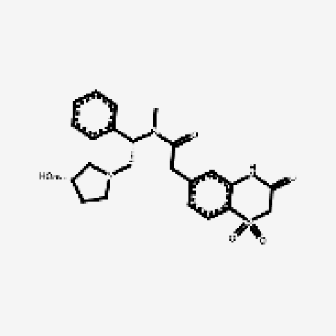 CN(C(=O)Cc1ccc2c(c1)NC(=O)CS2(=O)=O)[C@H](CN1CC[C@H](O)C1)c1ccccc1